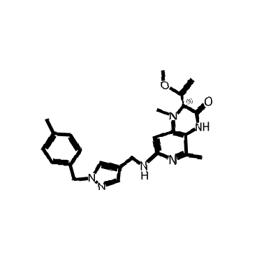 C=C(OC)[C@H]1C(=O)Nc2c(cc(NCc3cnn(Cc4ccc(C)cc4)c3)nc2C)N1C